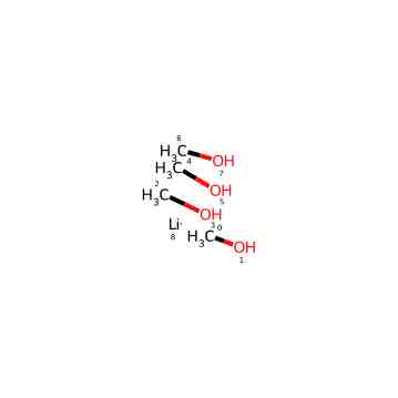 CO.CO.CO.CO.[Li]